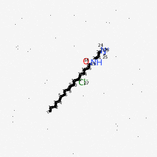 CCCCCCCCC=CCCCCCCCC(=O)NCCC[N+](C)(C)C.[Cl-]